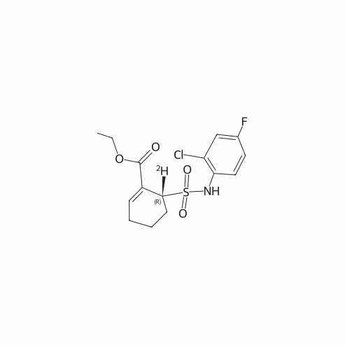 [2H][C@@]1(S(=O)(=O)Nc2ccc(F)cc2Cl)CCCC=C1C(=O)OCC